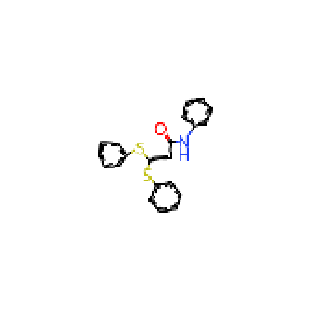 O=C(C=C(Sc1ccccc1)Sc1ccccc1)Nc1ccccc1